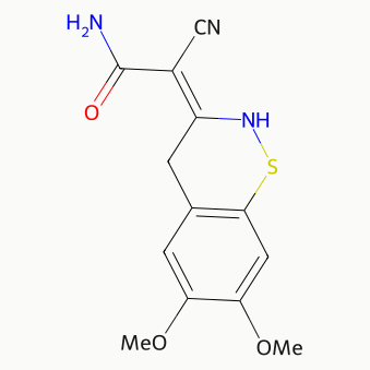 COc1cc2c(cc1OC)SNC(=C(C#N)C(N)=O)C2